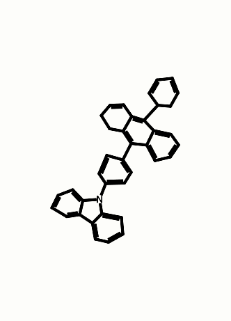 C1=CCC(c2c3c(c(-c4ccc(-n5c6ccccc6c6ccccc65)cc4)c4ccccc24)CCC=C3)C=C1